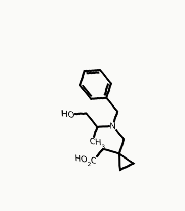 CC(CO)N(Cc1ccccc1)CC1(CC(=O)O)CC1